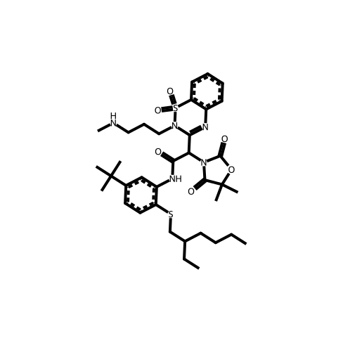 CCCCC(CC)CSc1ccc(C(C)(C)C)cc1NC(=O)C(C1=Nc2ccccc2S(=O)(=O)N1CCCNC)N1C(=O)OC(C)(C)C1=O